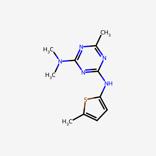 Cc1nc(Nc2ccc(C)s2)nc(N(C)C)n1